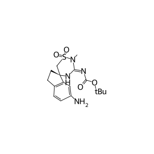 CN1/C(=N/C(=O)OC(C)(C)C)N[C@@]2(CCc3ccc(N)cc32)CS1(=O)=O